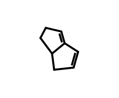 C1=CC2=CCCC2C1